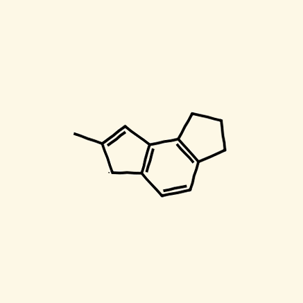 CC1=Cc2c(ccc3c2CCC3)[CH]1